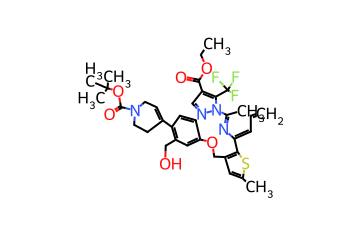 C=C/C=C(\N=C(/C)n1ncc(C(=O)OCC)c1C(F)(F)F)c1sc(C)cc1COc1ccc(C2=CCN(C(=O)OC(C)(C)C)CC2)c(CO)c1